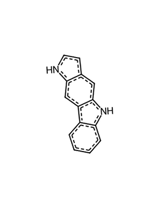 c1ccc2c(c1)[nH]c1cc3cc[nH]c3cc12